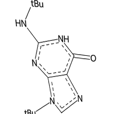 CC(C)(C)Nc1nc2c(ncn2C(C)(C)C)c(=O)[nH]1